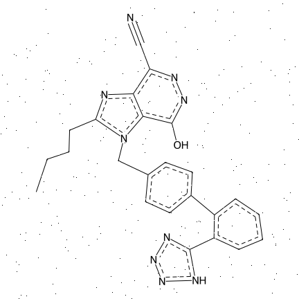 CCCCc1nc2c(C#N)nnc(O)c2n1Cc1ccc(-c2ccccc2-c2nnn[nH]2)cc1